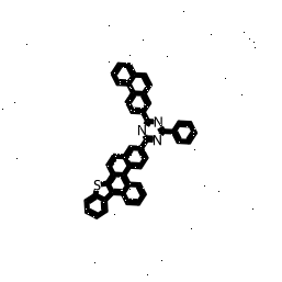 c1ccc(-c2nc(-c3ccc4c(ccc5ccccc54)c3)nc(-c3ccc4c(ccc5c6sc7ccccc7c6c6ccccc6c45)c3)n2)cc1